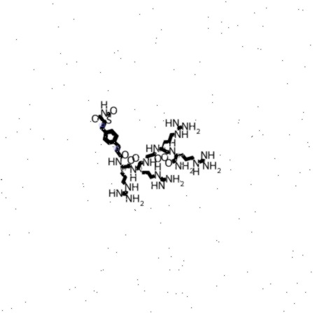 N=C(N)NCCC[C@H](NC(=O)[C@H](CCCNC(=N)N)NC(=O)CNC(=O)[C@H](CCCNC(=N)N)NC(=O)[C@H](CCCNC(=N)N)NC(=O)/C=C/c1ccc(/C=C2\SC(=O)NC2=O)cc1)C(N)=O